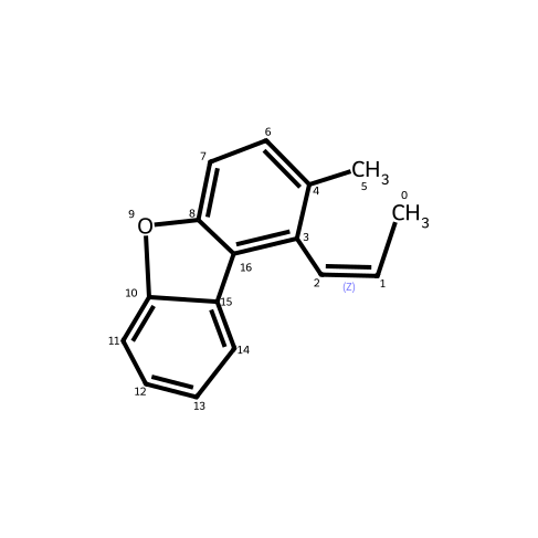 C/C=C\c1c(C)ccc2oc3ccccc3c12